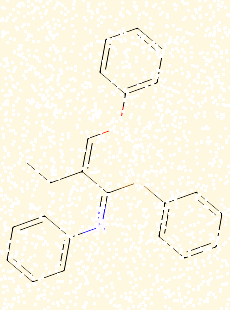 CCC(=COc1ccccc1)C(=Nc1ccccc1)Sc1ccccc1